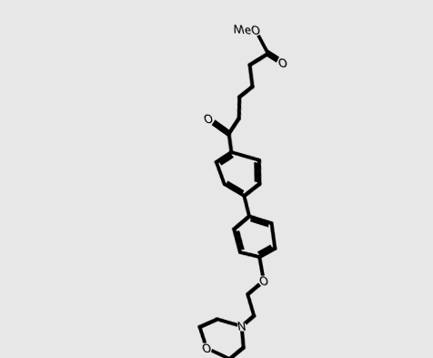 COC(=O)CCCCC(=O)c1ccc(-c2ccc(OCCN3CCOCC3)cc2)cc1